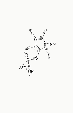 CC(=O)[C@H](O)C(=O)Sc1c(F)c(F)c(F)c(F)c1F